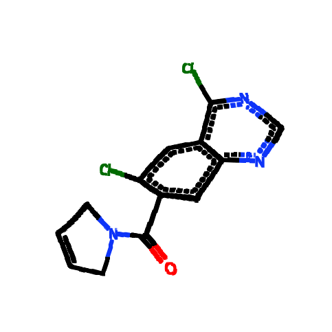 O=C(c1cc2ncnc(Cl)c2cc1Cl)N1CC=CC1